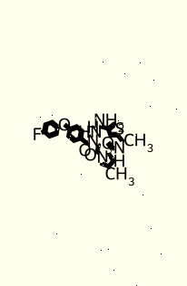 C[C@H]1C[C@@H](C(=O)N[C@H](C)c2cc(C(=N)N)cs2)N(C(=O)CNC(=O)c2ccc(Oc3ccc(F)cc3)cc2)C1